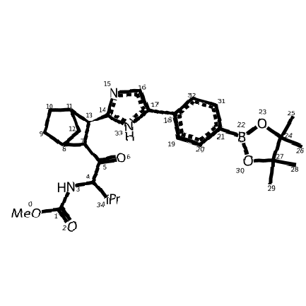 COC(=O)NC(C(=O)C1C2CCC(C2)[C@H]1c1ncc(-c2ccc(B3OC(C)(C)C(C)(C)O3)cc2)[nH]1)C(C)C